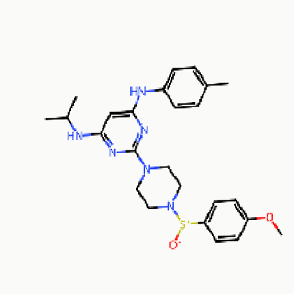 COc1ccc([S+]([O-])N2CCN(c3nc(Nc4ccc(C)cc4)cc(NC(C)C)n3)CC2)cc1